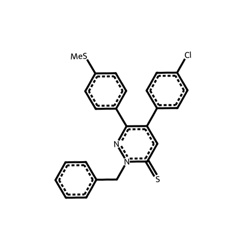 CSc1ccc(-c2nn(Cc3ccccc3)c(=S)cc2-c2ccc(Cl)cc2)cc1